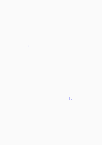 c1ccc(N(c2ccccc2)c2ccc(-c3ccc(-c4cccc5c6ccccc6n(-c6ccccc6)c45)c4ccccc34)cc2)cc1